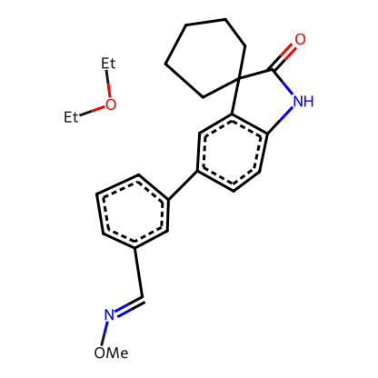 CCOCC.CO/N=C/c1cccc(-c2ccc3c(c2)C2(CCCCC2)C(=O)N3)c1